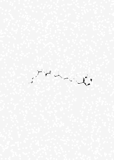 CC(CCC(=O)O)NC(=O)NCCCCCNC(=O)c1cncc([125I])c1